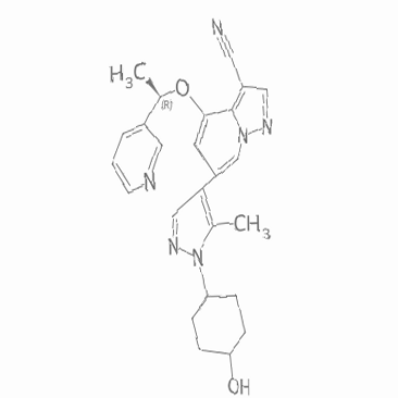 Cc1c(-c2cc(O[C@H](C)c3cccnc3)c3c(C#N)cnn3c2)cnn1C1CCC(O)CC1